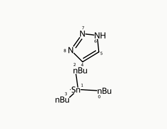 CCC[CH2][Sn]([CH2]CCC)[CH2]CCC.c1c[nH]nn1